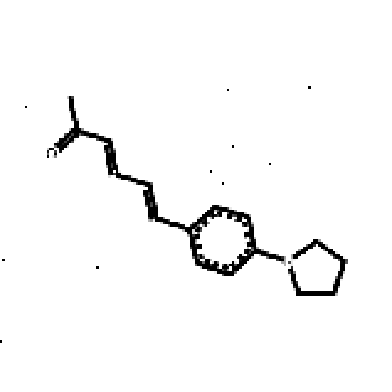 CC(=O)C=CC=Cc1ccc(N2CCCC2)cc1